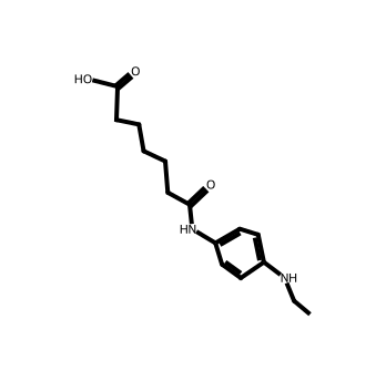 CCNc1ccc(NC(=O)CCCCCC(=O)O)cc1